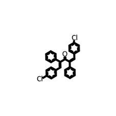 O=C(C(=Cc1ccc(Cl)cc1)c1ccccc1)C(=Cc1ccc(Cl)cc1)c1ccccc1